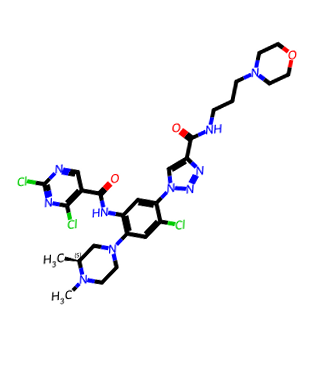 C[C@H]1CN(c2cc(Cl)c(-n3cc(C(=O)NCCCN4CCOCC4)nn3)cc2NC(=O)c2cnc(Cl)nc2Cl)CCN1C